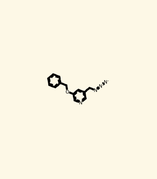 [N-]=[N+]=NCc1cncc(OCc2ccccc2)c1